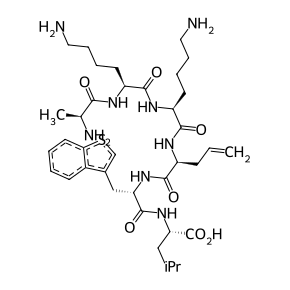 C=CC[C@H](NC(=O)[C@H](CCCCN)NC(=O)[C@H](CCCCN)NC(=O)[C@H](C)N)C(=O)N[C@@H](Cc1csc2ccccc12)C(=O)N[C@@H](CC(C)C)C(=O)O